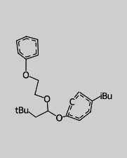 CCC(C)c1ccc(OC(CC(C)(C)C)OCCOc2ccccc2)cc1